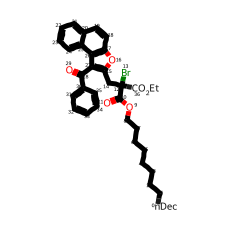 CCCCCCCCCCCCCCCCCCOC(=O)C(Br)(Cc1oc2ccc3ccccc3c2c1C(=O)c1ccccc1)C(=O)OCC